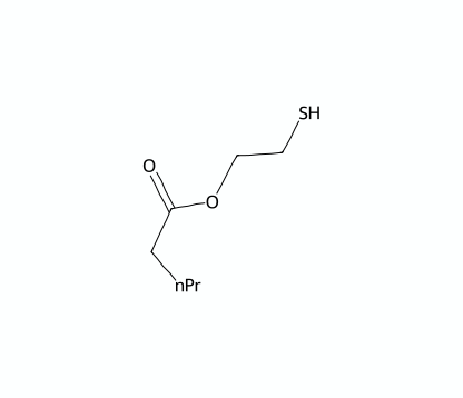 CCCCC(=O)OCCS